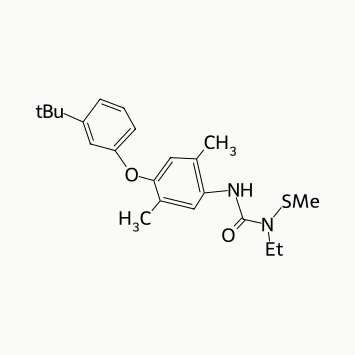 CCN(SC)C(=O)Nc1cc(C)c(Oc2cccc(C(C)(C)C)c2)cc1C